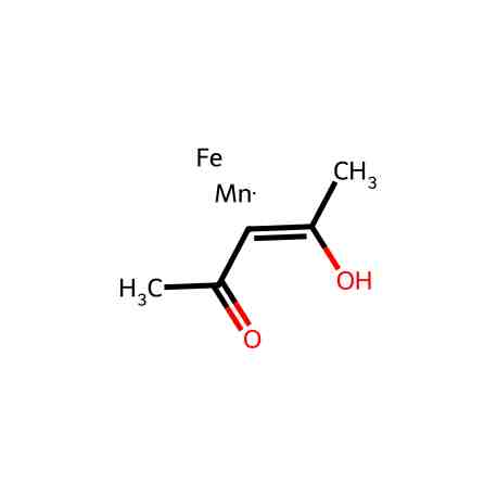 CC(=O)/C=C(/C)O.[Fe].[Mn]